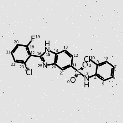 O=S(=O)(Nc1ccccc1Cl)c1ccc2[nH]c(-c3c(F)cccc3Cl)nc2c1